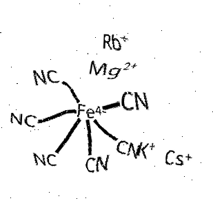 N#[C][Fe-4]([C]#N)([C]#N)([C]#N)([C]#N)[C]#N.[Cs+].[K+].[Mg+2].[Rb+]